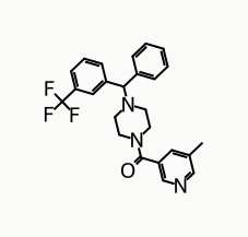 Cc1cncc(C(=O)N2CCN(C(c3ccccc3)c3cccc(C(F)(F)F)c3)CC2)c1